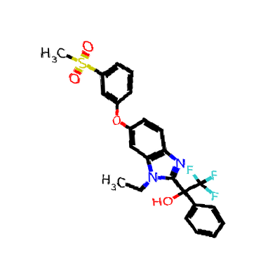 CCn1c(C(O)(c2ccccc2)C(F)(F)F)nc2ccc(Oc3cccc(S(C)(=O)=O)c3)cc21